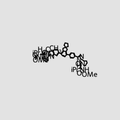 COC(=O)NC(C(=O)N1CCCC1C1=Nc2cc(-c3ccc(-c4ccc(-c5cnc(C6CCCN6C(=O)C(NC(=O)OC)C(C)C)[nH]5)cc4)c4c3CC3(CCCC3)C4)ccc2C(C)(C)N1)C(C)C